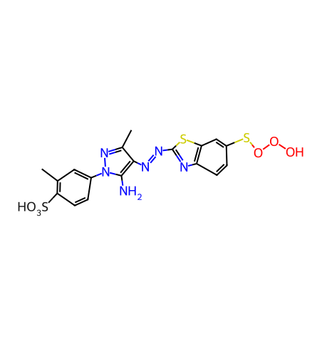 Cc1cc(-n2nc(C)c(/N=N/c3nc4ccc(SOOO)cc4s3)c2N)ccc1S(=O)(=O)O